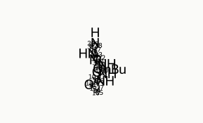 CCCCC(NC(=O)c1[nH]c2c(c1C)C(=O)CC(C)(C)C2)C(=O)Nc1ccc(NC2CCNCC2)nc1